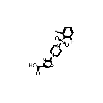 O=C(O)c1csc(N2CCN(S(=O)(=O)c3c(F)cccc3F)CC2)n1